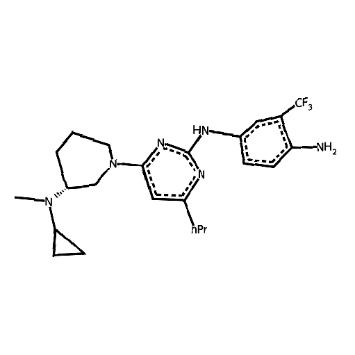 CCCc1cc(N2CCC[C@@H](N(C)C3CC3)C2)nc(Nc2ccc(N)c(C(F)(F)F)c2)n1